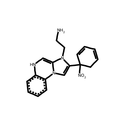 NCCN1C2=CNc3ccccc3N2C=C1C1([N+](=O)[O-])C=CC=CC1